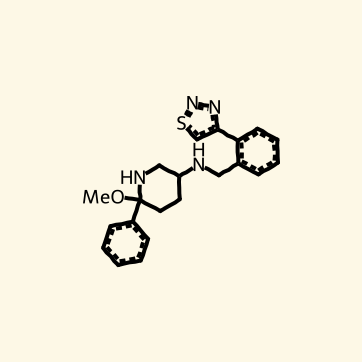 COC1(c2ccccc2)CCC(NCc2ccccc2-c2csnn2)CN1